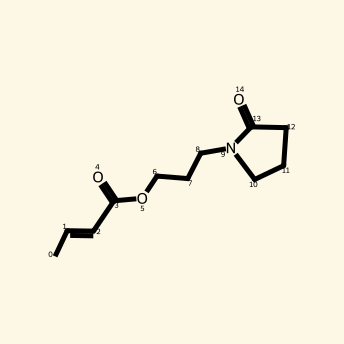 CC=CC(=O)OCCCN1CCCC1=O